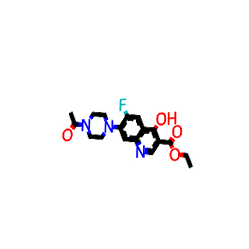 CCOC(=O)c1cnc2cc(N3CCN(C(C)=O)CC3)c(F)cc2c1O